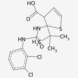 CC(C)(C)C1(NC(=O)Nc2cccc(Cl)c2Cl)SC=CC1C(=O)O